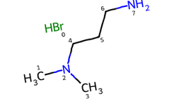 Br.CN(C)CCCN